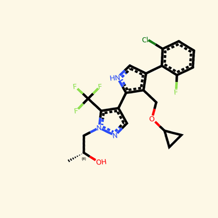 C[C@@H](O)Cn1ncc(-c2[nH]cc(-c3c(F)cccc3Cl)c2COC2CC2)c1C(F)(F)F